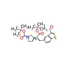 CC(C)(C)OC(=O)[C@@H](Cc1ccc2scc(C=O)c2c1)[C@H]1CCN(C(=O)OC(C)(C)C)C1